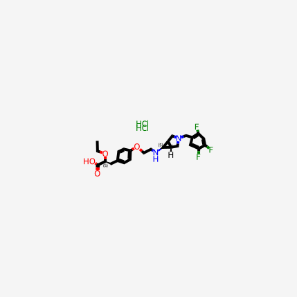 CCO[C@@H](Cc1ccc(OCCN[C@H]2C3CN(Cc4cc(F)c(F)cc4F)C[C@@H]32)cc1)C(=O)O.Cl.Cl